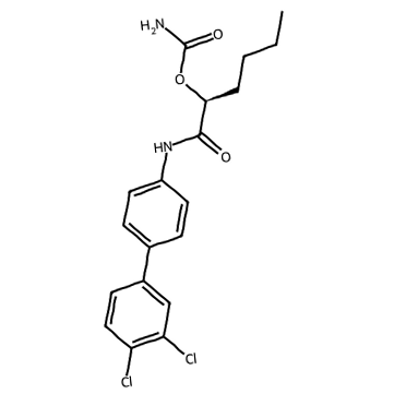 CCCC[C@H](OC(N)=O)C(=O)Nc1ccc(-c2ccc(Cl)c(Cl)c2)cc1